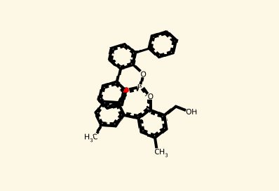 Cc1ccc2op(Oc3c(-c4ccccc4)cccc3-c3ccccc3)oc3c(CO)cc(C)cc3c2c1